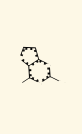 CC(C)(C)c1nc(O)c2sccc2n1